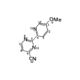 COc1ccc(-c2n[c]cc(C#N)n2)nc1